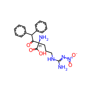 NC(=N[N+](=O)[O-])NCCC[C@](N)(C(=O)O)C(=O)C(c1ccccc1)c1ccccc1